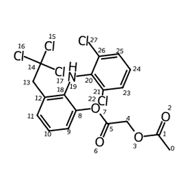 CC(=O)OCC(=O)Oc1cccc(CC(Cl)(Cl)Cl)c1Nc1c(Cl)cccc1Cl